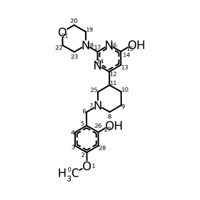 COc1ccc(CN2CCCC(c3cc(O)nc(N4CCOCC4)n3)C2)c(O)c1